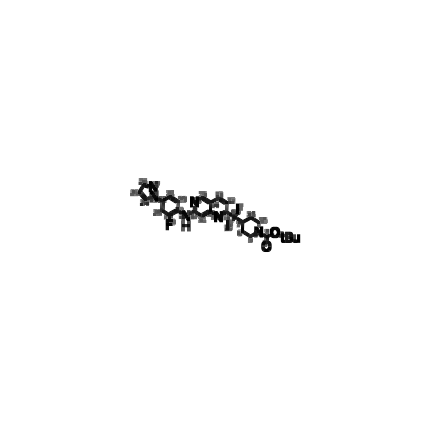 CC(C)(C)OC(=O)N1CCC(C(F)(F)c2ccc3cnc(Nc4ccc(-n5cccn5)cc4F)cc3n2)CC1